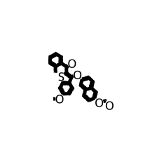 COc1ccc2c(Oc3ccc4cc(OC=O)ccc4c3)c(C(=O)c3ccccc3C)sc2c1